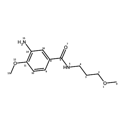 COCCCNC(=O)c1ccc(OC)c(N)c1